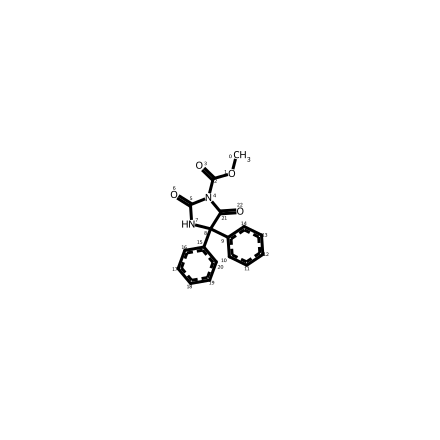 COC(=O)N1C(=O)NC(c2ccccc2)(c2ccccc2)C1=O